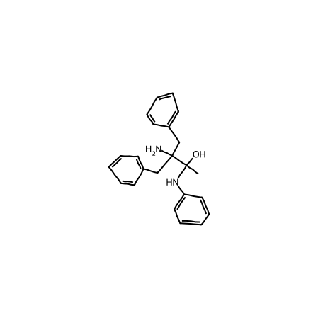 CC(O)(Nc1ccccc1)C(N)(Cc1ccccc1)Cc1ccccc1